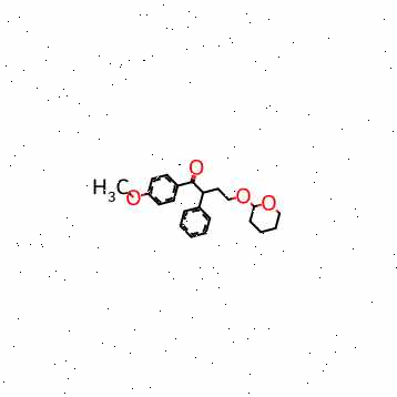 COc1ccc(C(=O)C(CCOC2CCCCO2)c2ccccc2)cc1